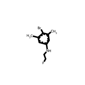 Cc1cc(NCCF)cc(C)c1Br